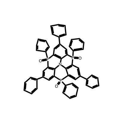 O=P1(c2ccccc2)c2cc(-c3ccccc3)cc3c2N2c4c1cc(-c1ccccc1)cc4P(=O)(c1ccccc1)c1cc(-c4ccccc4)cc(c12)P3(=O)c1ccccc1